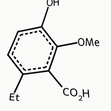 CCc1ccc(O)c(OC)c1C(=O)O